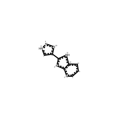 c1cnc2nc(-c3c[nH]nn3)[nH]c2c1